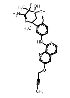 CC#CCOc1cnc2c(Nc3ccc(F)c([C@]4(C)CS(O)(O)[C@@](C)(F)C(N)=N4)c3)nccc2c1